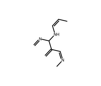 C=NC(N/C=C\C)C(=C)/C=N\C